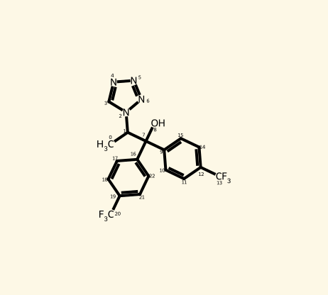 CC(n1cnnn1)C(O)(c1ccc(C(F)(F)F)cc1)c1ccc(C(F)(F)F)cc1